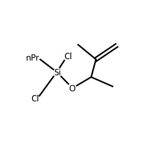 C=C(C)C(C)O[Si](Cl)(Cl)CCC